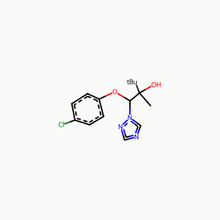 CC(C)(C)C(C)(O)C(Oc1ccc(Cl)cc1)n1cncn1